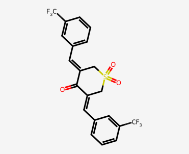 O=C1C(=Cc2cccc(C(F)(F)F)c2)CS(=O)(=O)CC1=Cc1cccc(C(F)(F)F)c1